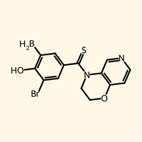 Bc1cc(C(=S)N2CCOc3ccncc32)cc(Br)c1O